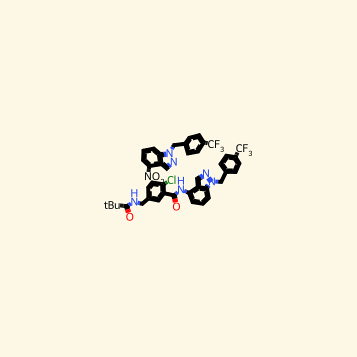 CC(C)(C)C(=O)NCc1ccc(Cl)c(C(=O)Nc2cccc3c2cnn3Cc2ccc(C(F)(F)F)cc2)c1.O=[N+]([O-])c1cccc2c1cnn2Cc1ccc(C(F)(F)F)cc1